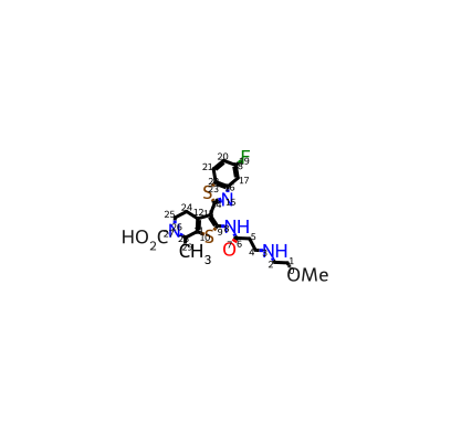 COCCNCCC(=O)Nc1sc2c(c1-c1nc3cc(F)ccc3s1)CCN(C(=O)O)C2C